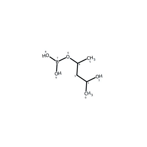 CC(O)CC(C)OB(O)O